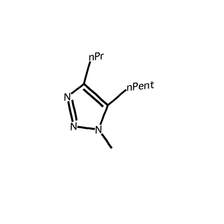 CCCCCc1c(CCC)nnn1C